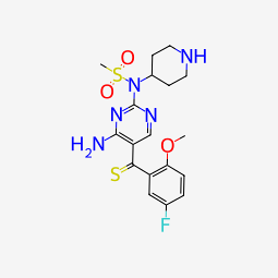 COc1ccc(F)cc1C(=S)c1cnc(N(C2CCNCC2)S(C)(=O)=O)nc1N